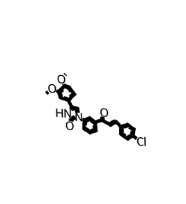 COc1ccc(-c2cn(-c3cccc(C(=O)C=Cc4ccc(Cl)cc4)c3)c(=O)[nH]2)cc1OC